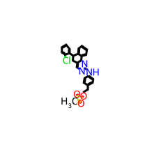 CS(=O)(=O)OCCc1ccc(Nc2ncc3c(n2)-c2ccccc2C(c2ccccc2Cl)C3)cc1